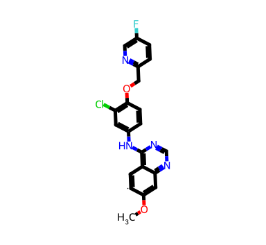 COc1[c]cc2c(Nc3ccc(OCc4ccc(F)cn4)c(Cl)c3)ncnc2c1